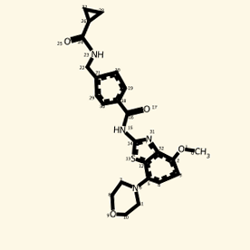 COc1ccc(N2CCOCC2)c2sc(NC(=O)c3ccc(CNC(=O)C4CC4)cc3)nc12